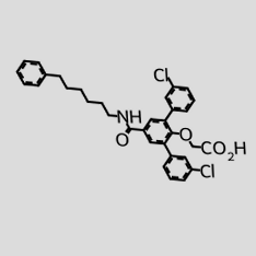 O=C(O)COc1c(-c2cccc(Cl)c2)cc(C(=O)NCCCCCCc2ccccc2)cc1-c1cccc(Cl)c1